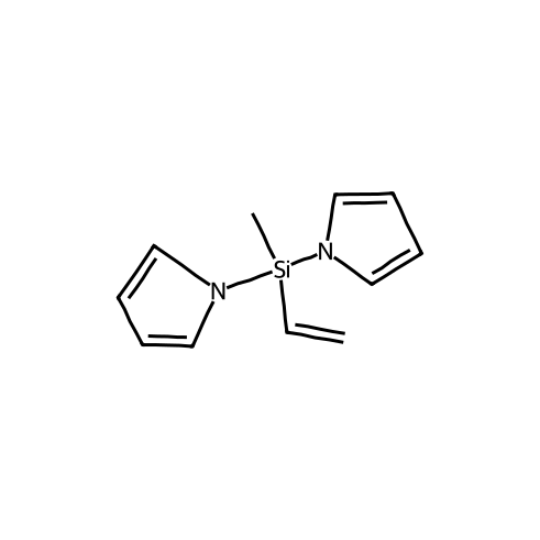 C=C[Si](C)(n1cccc1)n1cccc1